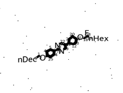 CCCCCCCCCCCOc1ccc(-c2ncc(-c3ccc(OCC(F)CCCCCC)cc3)cn2)cc1